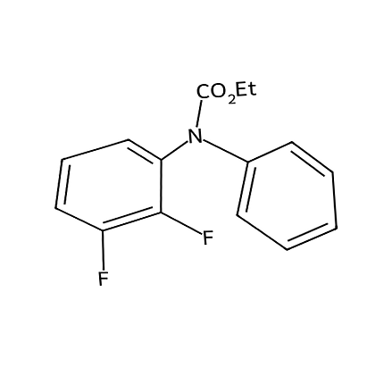 C[CH]OC(=O)N(c1ccccc1)c1cccc(F)c1F